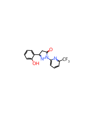 O=C1CC(c2ccccc2O)=NN1c1cccc(C(F)(F)F)n1